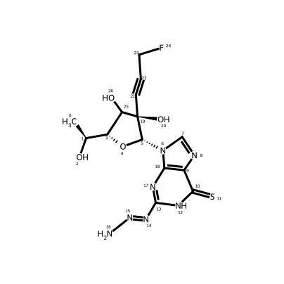 C[C@H](O)[C@H]1O[C@@H](n2cnc3c(=S)[nH]c(N=NN)nc32)[C@@](O)(C#CCF)C1O